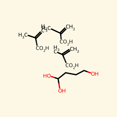 C=C(C)C(=O)O.C=C(C)C(=O)O.C=C(C)C(=O)O.OCCCC(O)O